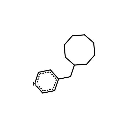 c1cc(C[C]2CCCCCCC2)ccn1